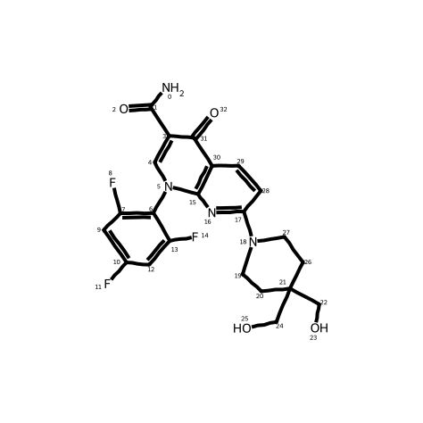 NC(=O)c1cn(-c2c(F)cc(F)cc2F)c2nc(N3CCC(CO)(CO)CC3)ccc2c1=O